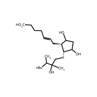 CCCCC(C)C(C)(O)CS[C@H]1C(O)CC(O)[C@@H]1CC=CCCCC(=O)O